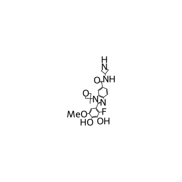 COc1cc(-c2nc3ccc(C(=O)NC4CNC4)cc3n2C2(C)COC2)c(F)c(O)c1O